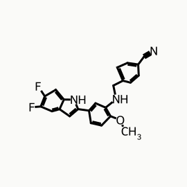 COc1ccc(-c2cc3cc(F)c(F)cc3[nH]2)cc1NCc1ccc(C#N)cc1